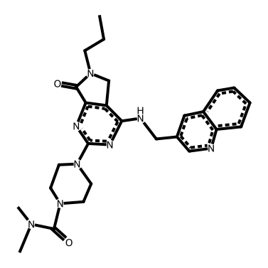 CCCN1Cc2c(NCc3cnc4ccccc4c3)nc(N3CCN(C(=O)N(C)C)CC3)nc2C1=O